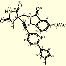 COc1ccc2c(c1)C(=O)N(C[C@@]1(C#Cc3ccc(-c4cc[nH]n4)nc3)NC(=O)NC1=O)C2